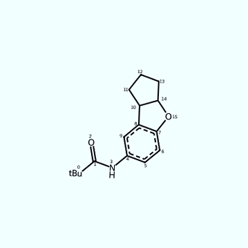 CC(C)(C)C(=O)Nc1ccc2c(c1)C1CCCC1O2